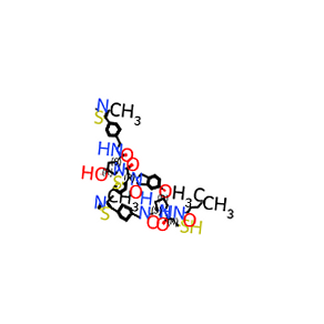 Cc1ncsc1-c1ccc(CNC(=O)[C@@H]2C[C@@H](Oc3ccc4c(c3)C(=O)N([C@H](C(=O)N3C[C@H](O)C[C@H]3C(=O)NCc3ccc(-c5scnc5C)cc3)c3cccs3)C4)CN2C(=O)[C@H](CS)NC(=O)CCC(C)C)cc1